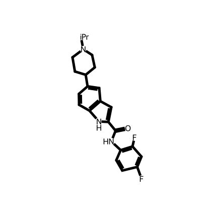 CC(C)N1CCC(c2ccc3[nH]c(C(=O)Nc4ccc(F)cc4F)cc3c2)CC1